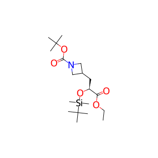 CCOC(=O)[C@H](CC1CN(C(=O)OC(C)(C)C)C1)O[Si](C)(C)C(C)(C)C